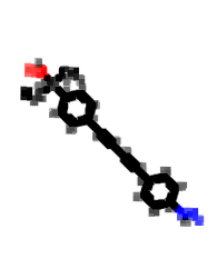 C[Si](C)(O)c1ccc(C#CC#Cc2ccc(N)cc2)cc1